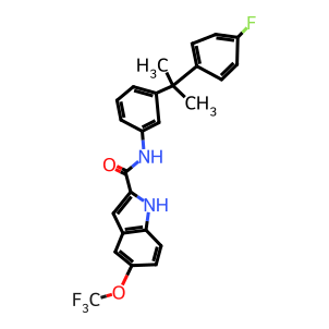 CC(C)(c1ccc(F)cc1)c1cccc(NC(=O)c2cc3cc(OC(F)(F)F)ccc3[nH]2)c1